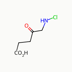 O=C(O)CCC(=O)CNCl